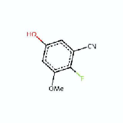 COc1cc(O)cc(C#N)c1F